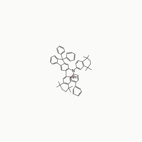 CC(C)c1cc2c(cc1-c1cc3c(cc1N(c1ccc(-c4ccccc4)cc1)c1ccc4c(c1)C(C)(C)CCC4(C)C)C(c1ccccc1)(c1ccccc1)c1ccccc1-3)C(C)(C)CCC2(C)C